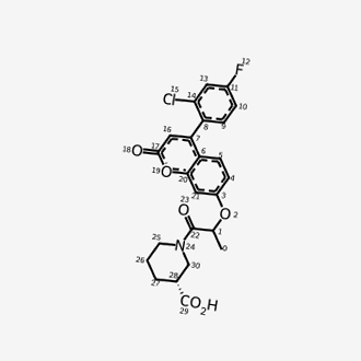 CC(Oc1ccc2c(-c3ccc(F)cc3Cl)cc(=O)oc2c1)C(=O)N1CCC[C@@H](C(=O)O)C1